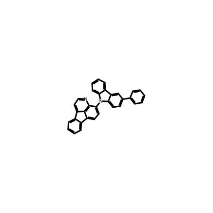 c1ccc(-c2ccc3c(c2)c2ccccc2n3-c2ccc3c4c(ccnc24)-c2ccccc2-3)cc1